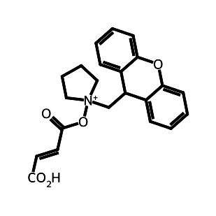 O=C(O)/C=C/C(=O)O[N+]1(CC2c3ccccc3Oc3ccccc32)CCCC1